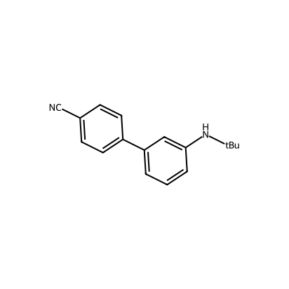 CC(C)(C)Nc1cccc(-c2ccc(C#N)cc2)c1